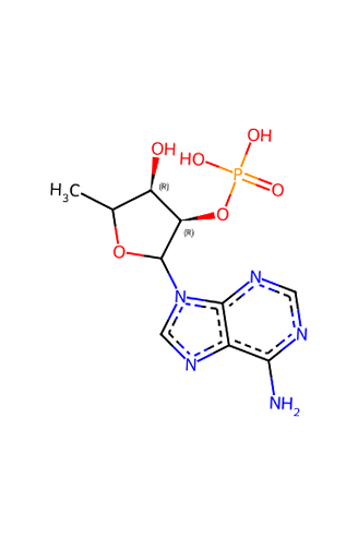 CC1OC(n2cnc3c(N)ncnc32)[C@H](OP(=O)(O)O)[C@@H]1O